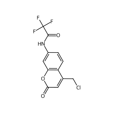 O=C(Nc1ccc2c(CCl)cc(=O)oc2c1)C(F)(F)F